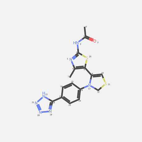 CC(=O)Nc1nc(C)c(C2=CSCN2c2ccc(-c3nnn[nH]3)cc2)s1